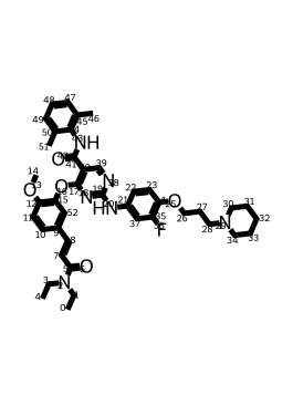 CCN(CC)C(=O)C=Cc1ccc(OC)c(Oc2nc(Nc3ccc(OCCCN4CCCCC4)c(F)c3)ncc2C(=O)Nc2c(C)cccc2C)c1